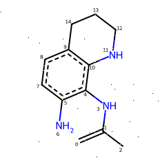 C=C(C)Nc1c(N)ccc2c1NCCC2